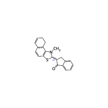 CN1/C(=C2\Cc3ccccc3C2=O)Sc2ccc3c(c21)CCC=C3